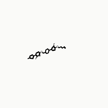 C=CCCCOc1ccc(C2CCC(COc3ccc(-c4ccc(C)cc4)c(F)c3F)CC2)cc1F